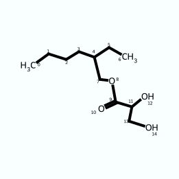 CCCCC(CC)COC(=O)C(O)CO